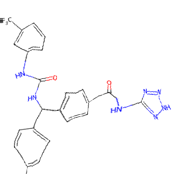 CC(C)(C)c1ccc(C(NC(=O)Nc2cccc(C(F)(F)F)c2)c2ccc(C(=O)Nc3nn[nH]n3)cc2)cc1